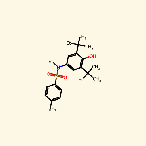 CCCCCCCCc1ccc(S(=O)(=O)N(CC)c2cc(C(C)(C)CC)c(O)c(C(C)(C)CC)c2)cc1